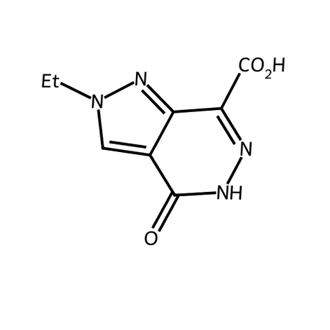 CCn1cc2c(=O)[nH]nc(C(=O)O)c2n1